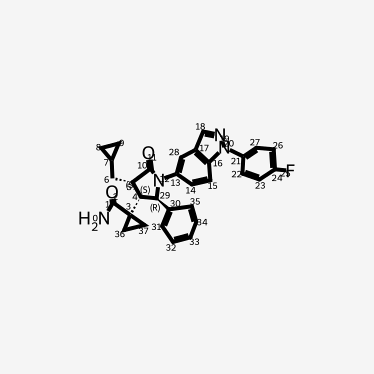 NC(=O)C1([C@@H]2[C@H](CC3CC3)C(=O)N(c3ccc4c(cnn4-c4ccc(F)cc4)c3)[C@H]2c2ccccc2)CC1